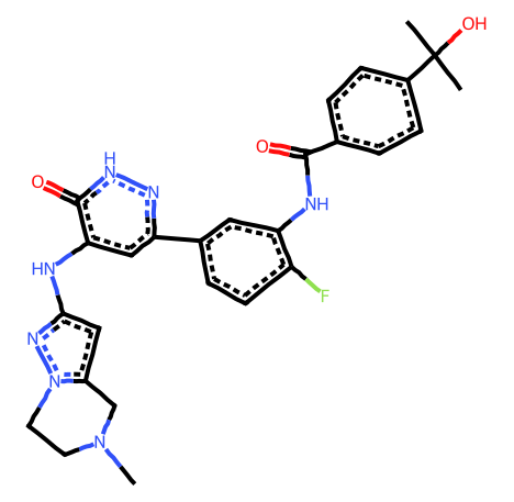 CN1CCn2nc(Nc3cc(-c4ccc(F)c(NC(=O)c5ccc(C(C)(C)O)cc5)c4)n[nH]c3=O)cc2C1